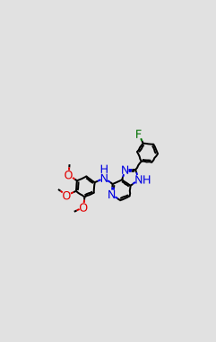 COc1cc(Nc2nccc3[nH]c(-c4cccc(F)c4)nc23)cc(OC)c1OC